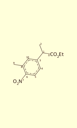 CCOC(=O)C(C)c1ccc([N+](=O)[O-])c(C)c1